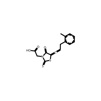 Cc1ccccc1CC=C=C1SC(=S)N(CC(=O)O)C1=O